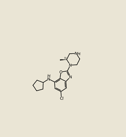 C[C@H]1CNCCN1c1nc2cc(Cl)cc(NC3CCCC3)c2o1